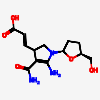 NC(=O)C1=C(N)N([C@H]2CC[C@@H](CO)O2)CC1/C=C/C(=O)O